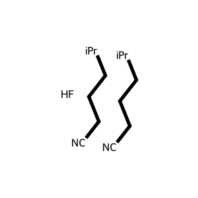 CC(C)CCCC#N.CC(C)CCCC#N.F